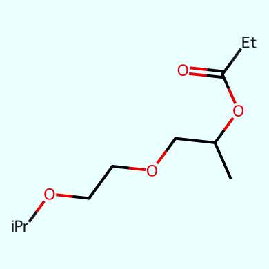 CCC(=O)OC(C)COCCOC(C)C